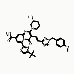 COc1ccc(Cn2nnc(C=Cc3c(N4CCC[C@@H](O)C4)nc4cc(C(N)=O)cc(-c5nc(C(C)(C)C)cs5)n4c3=O)n2)cc1